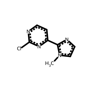 Cn1ccnc1-c1ccnc(Cl)n1